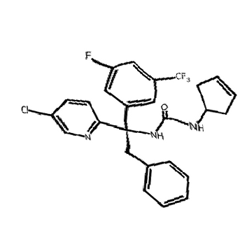 O=C(NC1CC=CC1)N[C@@](Cc1ccccc1)(c1cc(F)cc(C(F)(F)F)c1)c1ccc(Cl)cn1